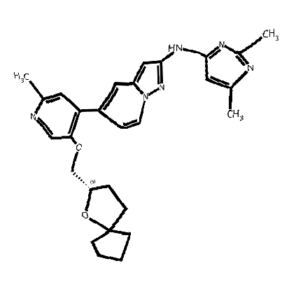 Cc1cc(-c2ccn3nc(Nc4cc(C)nc(C)n4)cc3c2)c(OC[C@@H]2CCC3(CCCC3)O2)cn1